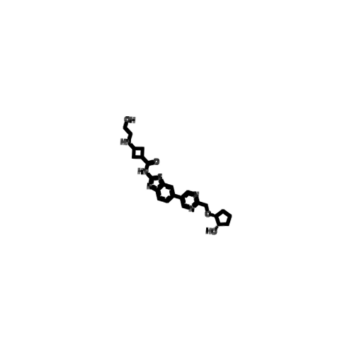 O=C(Nc1nc2ccc(-c3cnc(CO[C@H]4CCC[C@@H]4O)nc3)cc2s1)C1CC(NCCO)C1